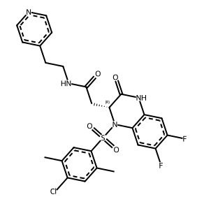 Cc1cc(S(=O)(=O)N2c3cc(F)c(F)cc3NC(=O)[C@H]2CC(=O)NCCc2ccncc2)c(C)cc1Cl